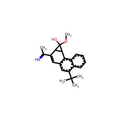 COC1(O)C2C(C(C)=N)=Cc3cc(C(C)(C)C)c4ccccc4c3C21